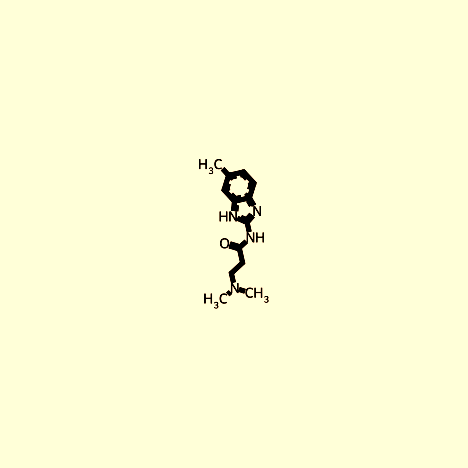 Cc1ccc2nc(NC(=O)CCN(C)C)[nH]c2c1